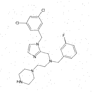 Fc1cccc(CN(CCN2CCNCC2)Cc2nccn2Cc2cc(Cl)cc(Cl)c2)c1